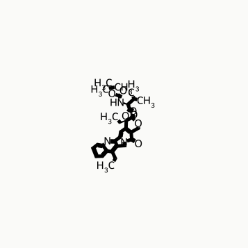 CCc1c2c(nc3ccccc13)-c1cc3c(c(=O)n1C2)COC(=O)[C@@]3(CC)OC(=O)[C@@H](NC(=O)OC(C)(C)C)C(C)C